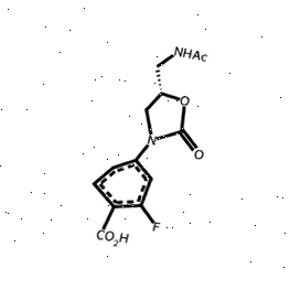 CC(=O)NC[C@H]1CN(c2ccc(C(=O)O)c(F)c2)C(=O)O1